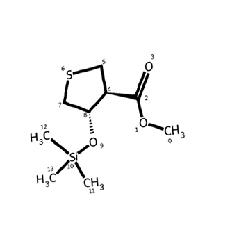 COC(=O)[C@@H]1CSC[C@H]1O[Si](C)(C)C